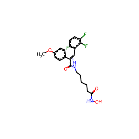 COc1ccc(/C(=C\c2c(F)ccc(F)c2F)C(=O)NCCCCCC(=O)NO)cc1